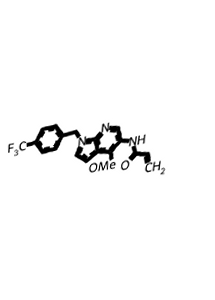 C=CC(=O)Nc1cnc2c(ccn2Cc2ccc(C(F)(F)F)cc2)c1OC